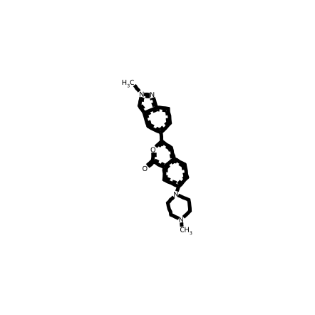 CN1CCN(c2ccc3cc(-c4ccc5nn(C)cc5c4)oc(=O)c3c2)CC1